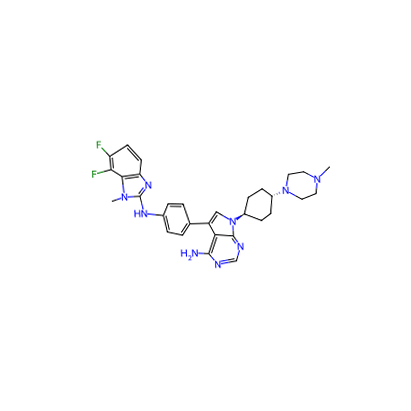 CN1CCN([C@H]2CC[C@H](n3cc(-c4ccc(Nc5nc6ccc(F)c(F)c6n5C)cc4)c4c(N)ncnc43)CC2)CC1